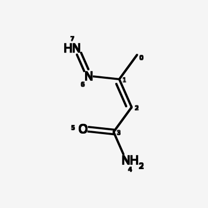 C/C(=C/C(N)=O)N=N